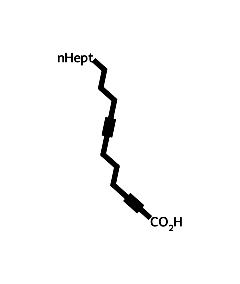 CCCCCCCCCCC#CCCCC#CC(=O)O